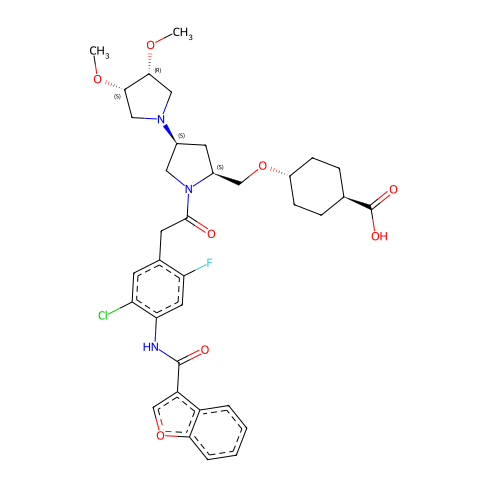 CO[C@H]1CN([C@H]2C[C@@H](CO[C@H]3CC[C@H](C(=O)O)CC3)N(C(=O)Cc3cc(Cl)c(NC(=O)c4coc5ccccc45)cc3F)C2)C[C@H]1OC